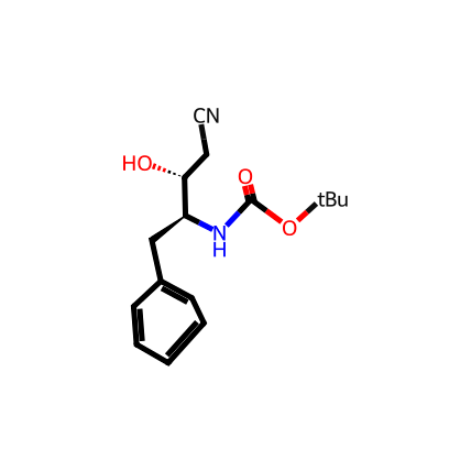 CC(C)(C)OC(=O)N[C@@H](Cc1ccccc1)[C@H](O)CC#N